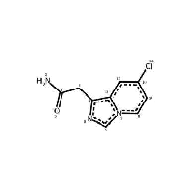 NC(=O)Cc1ncn2ccc(Cl)cc12